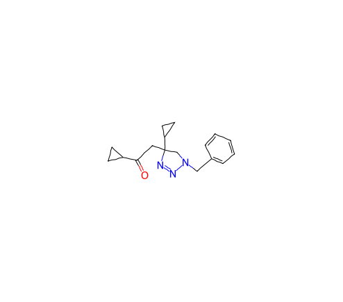 O=C(CC1(C2CC2)CN(Cc2ccccc2)N=N1)C1CC1